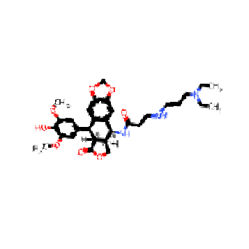 CCN(CC)CCCNCCC(=O)N[C@@H]1c2cc3c(cc2C(c2cc(OC)c(O)c(OC)c2)[C@H]2C(=O)OC[C@H]12)OCO3